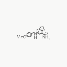 COc1ccc(CNC2=NN3[CH]CN=C3C(C(N)=O)=C2)cc1